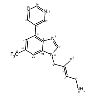 NC/C=C(\F)Cn1cnc2c(-c3cncnc3)cc(C(F)(F)F)cc21